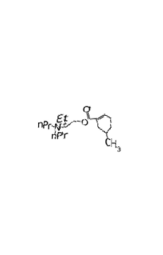 CCC[N+](CC)(CCC)CCOC(=O)C1=CCCC(C)C1